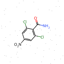 NC(=O)c1c(Cl)cc([N+](=O)[O-])cc1Cl